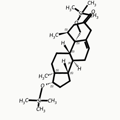 C[C@H]1CC(=O)CC2=CC[C@H]3[C@@H]4CC[C@H](O[Si](C)(C)C)[C@@]4(C)CC[C@@H]3[C@]21CO[Si](C)(C)C